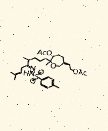 CC(=O)OCC=C1CC[C@@H](OC(C)=O)C(C)(CCCC(C)C(CC=C(C)C)=NNS(=O)(=O)c2ccc(C)cc2)OC1